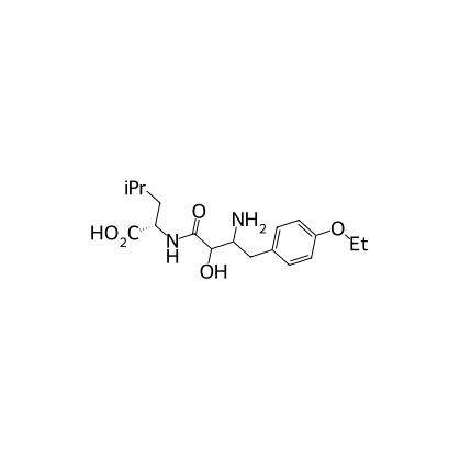 CCOc1ccc(CC(N)C(O)C(=O)N[C@@H](CC(C)C)C(=O)O)cc1